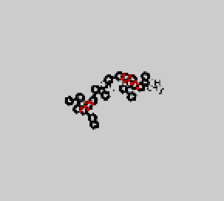 CC1(C)c2ccccc2-c2c(-c3cccc(N(c4cccc(-c5cccc(CC6(C)c7ccccc7-c7c(-c8cccc(N(c9cccc(-c%10ccc%11ccccc%11c%10)c9)c9cccc(-c%10ccccc%10)c9-c9ccccc9-c9ccccc9)c8)cccc76)c5)c4)c4cccc(-c5ccccc5)c4-c4ccccc4-c4ccccc4)c3)cccc21